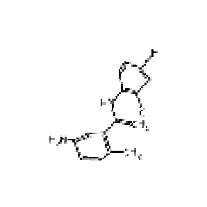 C=C(Nc1ccc(F)cc1Cl)c1cc(N)ccc1C